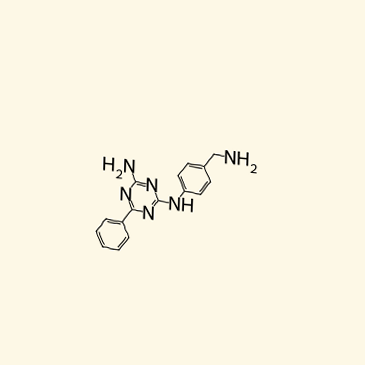 NCc1ccc(Nc2nc(N)nc(-c3ccccc3)n2)cc1